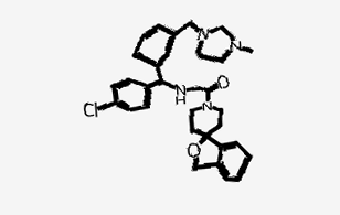 CN1CCN(Cc2cccc(C(NCC(=O)N3CCC4(CC3)OCc3ccccc34)c3ccc(Cl)cc3)c2)CC1